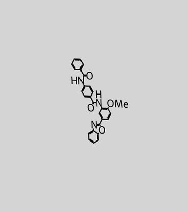 COc1ccc(-c2nc3ccccc3o2)cc1NC(=O)c1ccc(NC(=O)c2ccccc2)cc1